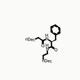 CCCCCCCCCCCCNC(=O)[C@H](Cc1ccccc1)NC(=O)CCCCCCCCCCC